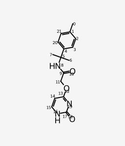 Cc1ccc(C(C)(C)NC(=O)COc2cc[nH]c(=O)n2)cc1